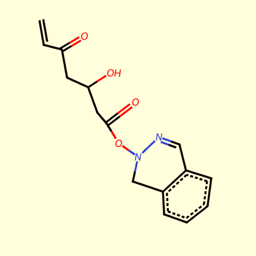 C=CC(=O)CC(O)CC(=O)ON1Cc2ccccc2C=N1